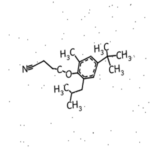 Cc1cc(C(C)(C)C)cc(CC(C)C)c1OCCCC#N